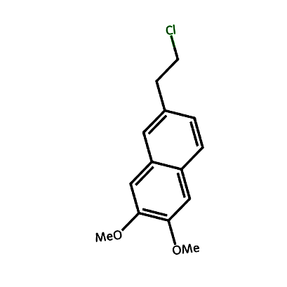 COc1cc2ccc(CCCl)cc2cc1OC